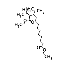 CCOC(=O)CCCCCCCCCC(C(C)C)C(C(=O)OCC)C(C)C